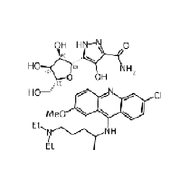 CCN(CC)CCCC(C)Nc1c2ccc(Cl)cc2nc2ccc(OC)cc12.NC(=O)c1n[nH]c([C@@H]2O[C@H](CO)[C@@H](O)[C@H]2O)c1O